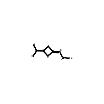 CC(C)C1CC(=NOI)C1